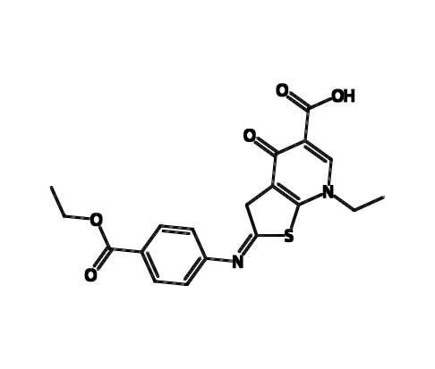 CCOC(=O)c1ccc(N=C2Cc3c(n(CC)cc(C(=O)O)c3=O)S2)cc1